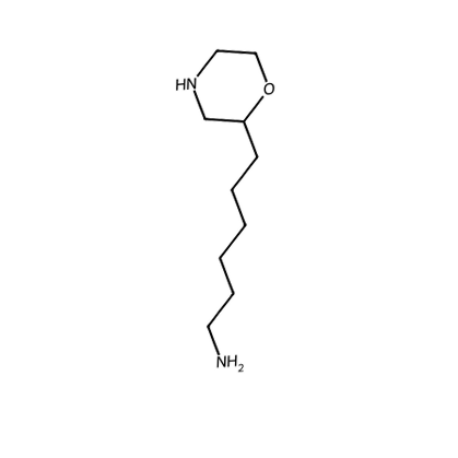 NCCCCCCC1CNCCO1